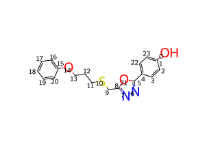 Oc1ccc(-c2nnc(CSCCCOc3ccccc3)o2)cc1